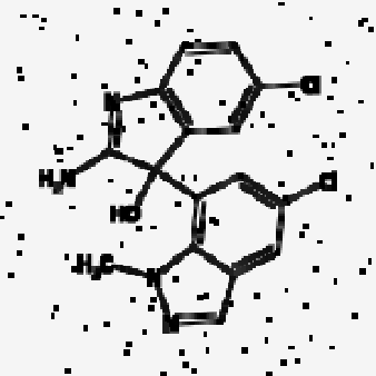 Cn1ncc2cc(Cl)cc(C3(O)C(N)=Nc4ccc(Cl)cc43)c21